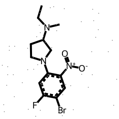 CCN(C)C1CCN(c2cc(F)c(Br)cc2[N+](=O)[O-])C1